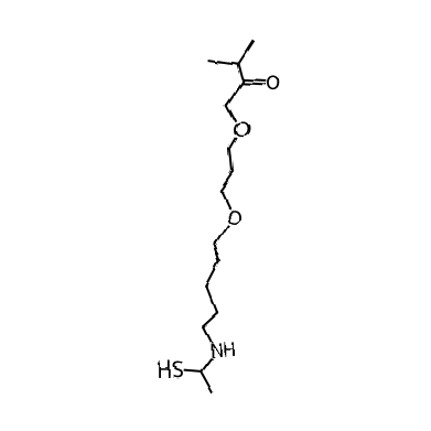 CC(S)NCCCCCOCCCOCC(=O)C(C)C